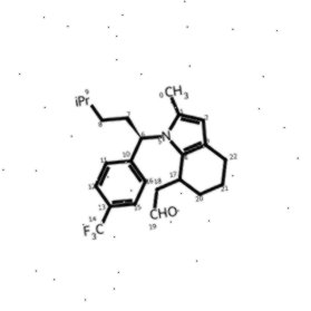 Cc1cc2c(n1[C@H](CCC(C)C)c1ccc(C(F)(F)F)cc1)C(CC=O)CCC2